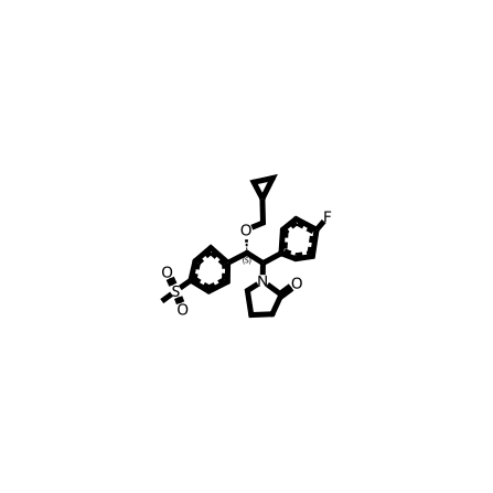 CS(=O)(=O)c1ccc([C@H](OCC2CC2)C(c2ccc(F)cc2)N2CCCC2=O)cc1